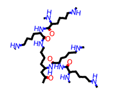 CNCCCCC(NC)C(=O)NC(CCCCNC)C(=O)NCCCCC(CC(C)=O)NC(=O)C(CCCCNC)NC(=O)C(CCCCNC)NC